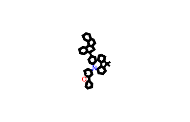 CC1(C)c2ccccc2-c2c(N(c3ccc(-c4cc5ccc6ccccc6c5c5ccccc45)cc3)c3ccc4oc5ccccc5c4c3)cccc21